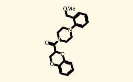 COCc1ccccc1N1CCN(C(=O)C2COc3ccccc3O2)CC1